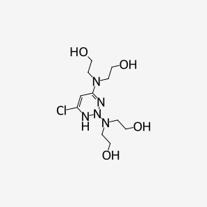 OCCN(CCO)C1=NN(N(CCO)CCO)NC(Cl)=C1